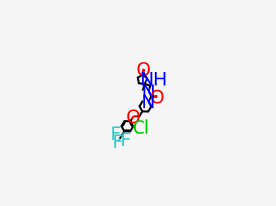 O=C1CCC2(CN(C(=O)N3CCC(COc4ccc(C(F)(F)F)cc4Cl)CC3)C2)N1